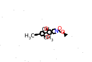 CC#Cc1cc(C)c(C2C(=O)CC3(CCN(C(=O)COC4CC4)CC3)CC2=O)c(C)c1